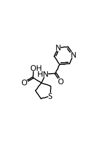 O=C(NC1(C(=O)O)CCSC1)c1cncnc1